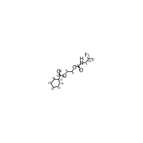 [CH2][C@H](F)CNC(=O)OCCOC(=O)C1CCCCC1